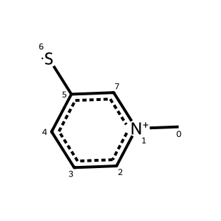 C[n+]1cccc([S])c1